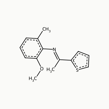 COc1cccc(C)c1N=C(C)c1cccs1